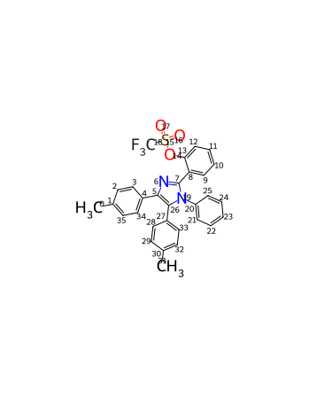 Cc1ccc(-c2nc(-c3ccccc3OS(=O)(=O)C(F)(F)F)n(-c3ccccc3)c2-c2ccc(C)cc2)cc1